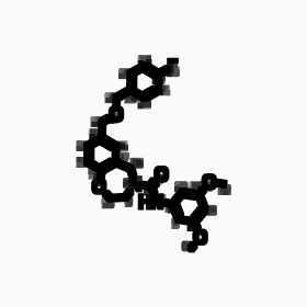 COc1cc(NC(=O)N2CCOc3ccc(COCc4ccc(F)cc4)cc3C2)cc(OC)c1